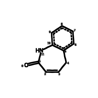 O=C1C=CCc2ccccc2N1